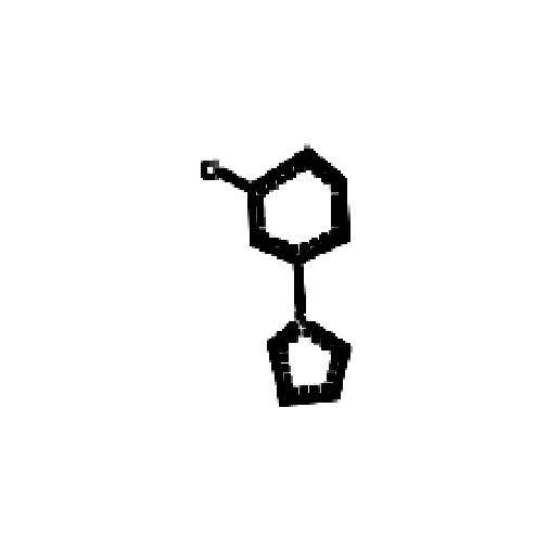 Clc1[c]ccc(-n2cccc2)c1